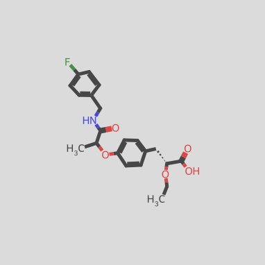 CCO[C@H](Cc1ccc(OC(C)C(=O)NCc2ccc(F)cc2)cc1)C(=O)O